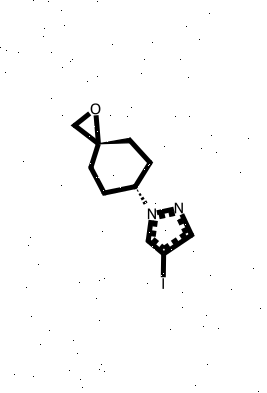 Ic1cnn([C@H]2CC[C@@]3(CC2)CO3)c1